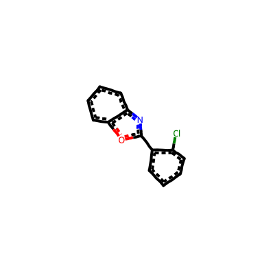 Clc1ccccc1-c1nc2ccccc2o1